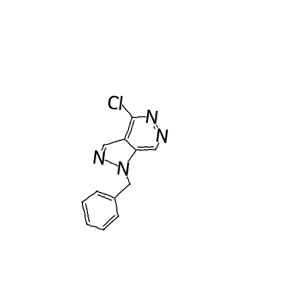 Clc1nncc2c1cnn2Cc1ccccc1